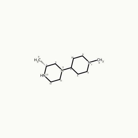 C[C@@H]1CN(C2CCN(C)CC2)CCN1